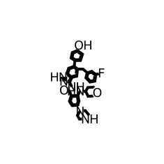 O=C(Nc1n[nH]c2cc(-c3ccc(O)cc3)c(Cc3cccc(F)c3)cc12)c1ccc(N2CCNCC2)cc1NC1CCOCC1